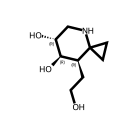 OCC[C@H]1[C@@H](O)[C@H](O)CNC12CC2